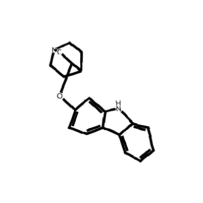 c1ccc2c(c1)[nH]c1cc(OC3CN4CCC3CC4)ccc12